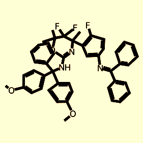 COc1ccc(C(NC2=NC(C)(c3cc(N=C(c4ccccc4)c4ccccc4)ccc3F)C(F)(F)C(C)(C)O2)(c2ccccc2)c2ccc(OC)cc2)cc1